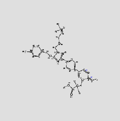 C=C(/C=N\C(=C/C)OCC(C)(C)C(=O)OC)c1ccc(-c2nc(OCc3ccc(F)cc3)n(COCC[Si](C)(C)C)n2)cc1